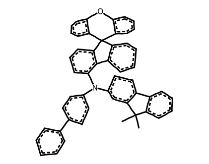 CC1(C)c2ccccc2-c2ccc(N(c3ccc(-c4ccccc4)cc3)c3cccc4c3-c3ccccc3C43c4ccccc4Oc4ccccc43)cc21